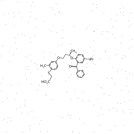 Cc1cc(OCC[C@@H](C)Oc2ccc(C(C)C)cc2C(=O)c2ccccc2)ccc1SCC(=O)O